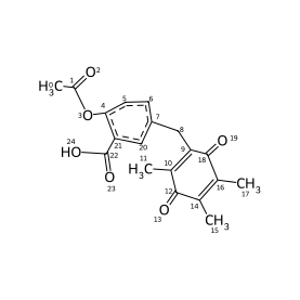 CC(=O)Oc1ccc(CC2=C(C)C(=O)C(C)=C(C)C2=O)cc1C(=O)O